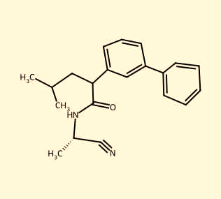 CC(C)CC(C(=O)N[C@@H](C)C#N)c1cccc(-c2ccccc2)c1